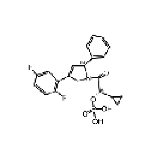 O=C([C@@H](OP(=O)(O)O)C1CC1)N1CC(c2cc(F)ccc2F)=C[C@H]1c1ccccc1